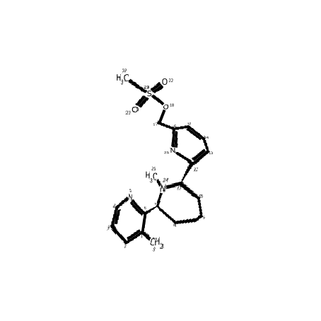 Cc1cccnc1[C@@H]1CCC[C@H](c2cccc(COS(C)(=O)=O)n2)N1C